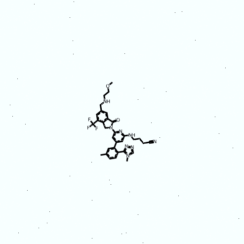 COCCNCc1cc2c(c(C(F)(F)F)c1)CN(c1cc(-c3cc(C)ccc3-c3nncn3C)cc(NCCCC#N)n1)C2=O